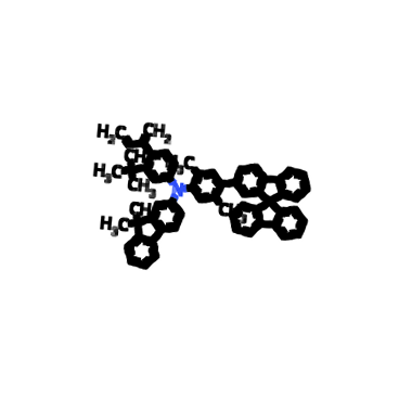 C=CC(=C)c1ccc(N(c2ccc3c(c2)C(C)(C)c2ccccc2-3)c2cc(C)c(-c3ccc4c(c3)C3(c5ccccc5-c5ccccc53)c3ccccc3-4)cc2C)cc1C(C)(C)C